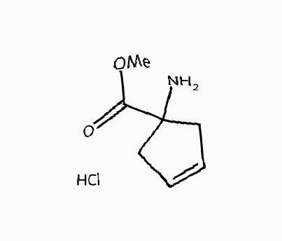 COC(=O)C1(N)CC=CC1.Cl